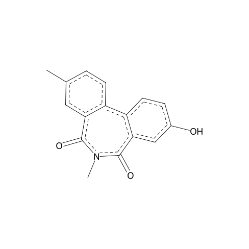 Cc1ccc2c(c1)c(=O)n(C)c(=O)c1cc(O)ccc12